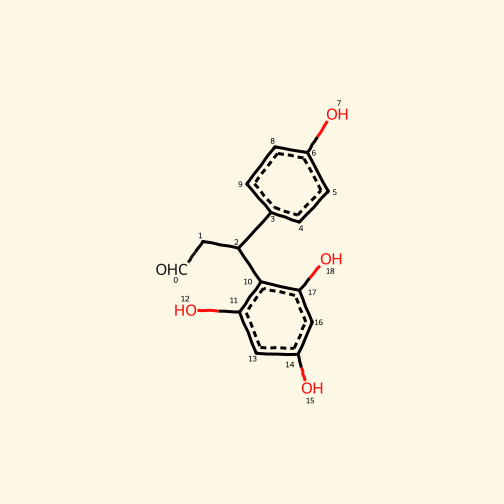 O=CCC(c1ccc(O)cc1)c1c(O)cc(O)cc1O